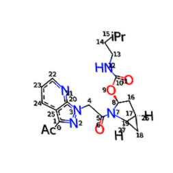 CC(=O)c1nn(CC(=O)N2[C@@H](OC(=O)NCCC(C)C)C[C@H]3C[C@H]32)c2ncccc12